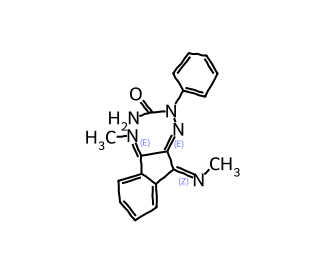 C\N=c1c(=N/N(C(N)=O)c2ccccc2)/c(=N/C)c2ccccc/12